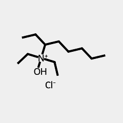 CCCCCC(CC)[N+](O)(CC)CC.[Cl-]